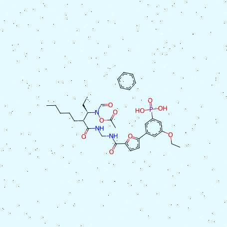 CCCCCC(C(=O)NCNC(=O)c1ccc(-c2cc(OCC)cc(P(=O)(O)O)c2)o1)[C@@H](CC)N(C=O)OC(C)=O.c1ccccc1